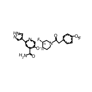 NC(=O)c1cc(-c2cn[nH]c2)ncc1O[C@H]1CCN(C(=O)Cc2ccc(OF)cc2)C[C@@H]1F